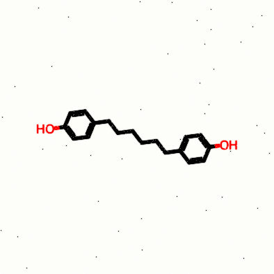 Oc1ccc(CCCCCCc2ccc(O)cc2)cc1